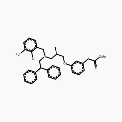 COC(=O)Cc1cccc(OC[C@H](C)CN(Cc2cccc(C(F)(F)F)c2Cl)CC(c2ccccc2)c2ccccc2)c1